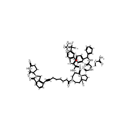 NC(=O)OC[C@H](NC(=O)[C@@H]1CC[C@@H]2CCN(C(=O)CCCCCC#Cc3cccc4c3CN(C3CCC(=O)NC3=O)C4=O)C[C@H](NC(=O)c3cc4cc(C(F)(F)P(=O)(O)O)ccc4s3)C(=O)N21)C(=O)NC(c1ccccc1)c1ccccc1